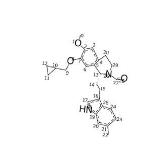 COc1cc2c(cc1OCC1CC1)[C@@H](CCc1c[nH]c3cc(C)ccc13)N(C=O)CC2